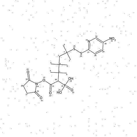 CC(C)(CC(C)(C)C(C)(C)C(C(=O)ON1C(=O)CCC1=O)P(=O)(O)O)SSc1ccc([N+](=O)[O-])cn1